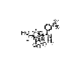 COC(=O)C1(NC(=O)C(N)c2cccc([N+](=O)[O-])c2)C(=O)N2[C@@H](C(=O)O)C(C)(C)S[C@@H]21